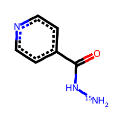 [15NH2]NC(=O)c1ccncc1